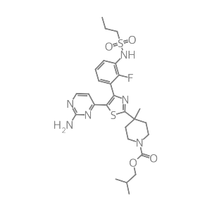 CCCS(=O)(=O)Nc1cccc(-c2nc(C3(C)CCN(C(=O)OCC(C)C)CC3)sc2-c2ccnc(N)n2)c1F